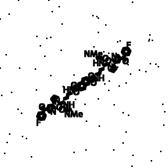 CN[C@@H](C)C(=O)N[C@@H](CCCCNS(=O)(=O)c1ccc2cc(S(=O)(=O)NCCCC[C@H](NC(=O)[C@H](C)NC)C(=O)N3CCC[C@H]3c3cncc(C(=O)c4ccc(F)cc4)c3)ccc2c1)C(=O)N1CCC[C@H]1c1cncc(C(=O)c2ccc(F)cc2)c1